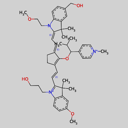 COCCN1/C(=C/C=C2\CCC(/C=C/C3=[N+](CCCO)c4ccc(OC)cc4C3(C)C)=C2OC(c2cc[n+](C)cc2)C(C)C)C(C)(C)c2cc(CO)ccc21